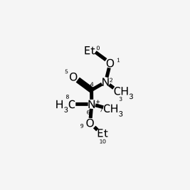 CCON(C)C(=O)[N+](C)(C)OCC